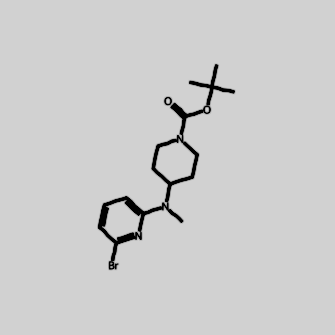 CN(c1cccc(Br)n1)C1CCN(C(=O)OC(C)(C)C)CC1